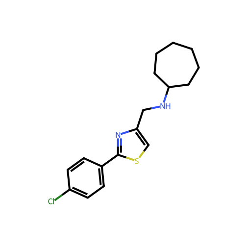 Clc1ccc(-c2nc(CNC3CCCCCC3)cs2)cc1